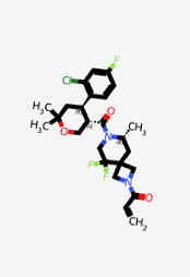 C=CC(=O)N1CC2(C[C@@H](C)N(C(=O)[C@@H]3COC(C)(C)C[C@H]3c3ccc(F)cc3Cl)CC2(F)F)C1